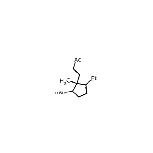 CCCCC1CCC(CC)C1(C)CCC(C)=O